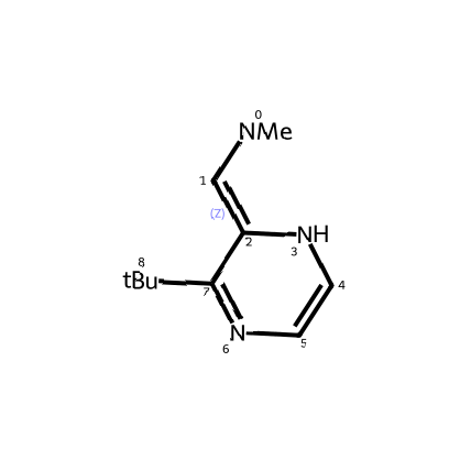 CN/C=C1\NC=CN=C1C(C)(C)C